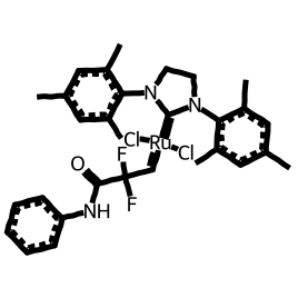 Cc1cc(C)c(N2CCN(c3c(C)cc(C)cc3C)[C]2=[Ru]([Cl])([Cl])=[CH]C(F)(F)C(=O)Nc2ccccc2)c(C)c1